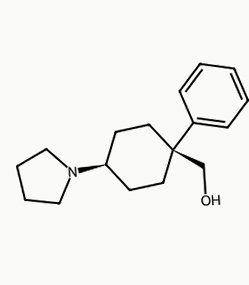 OC[C@]1(c2ccccc2)CC[C@H](N2CCCC2)CC1